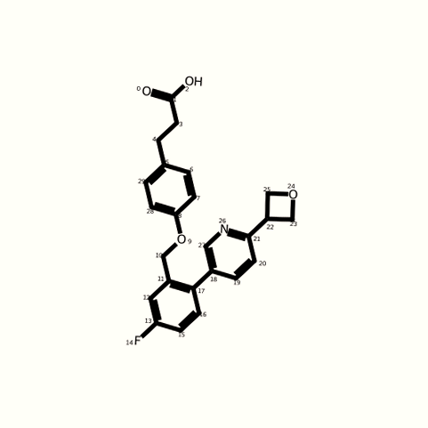 O=C(O)CCc1ccc(OCc2cc(F)ccc2-c2ccc(C3COC3)nc2)cc1